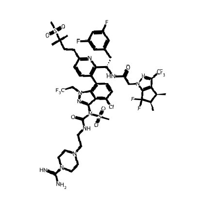 C[C@@H]1c2c(C(F)(F)F)nn(CC(=O)N[C@@H](Cc3cc(F)cc(F)c3)c3nc(CCC(C)(C)S(C)(=O)=O)ccc3-c3ccc(Cl)c4c(N(C(=O)NCCN5CCN(C(=N)N)CC5)S(C)(=O)=O)nn(CC(F)(F)F)c34)c2C(F)(F)[C@@H]1C